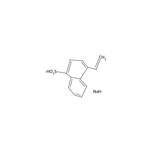 C=Cc1ccc(S(=O)(=O)O)c2ccccc12.[NaH]